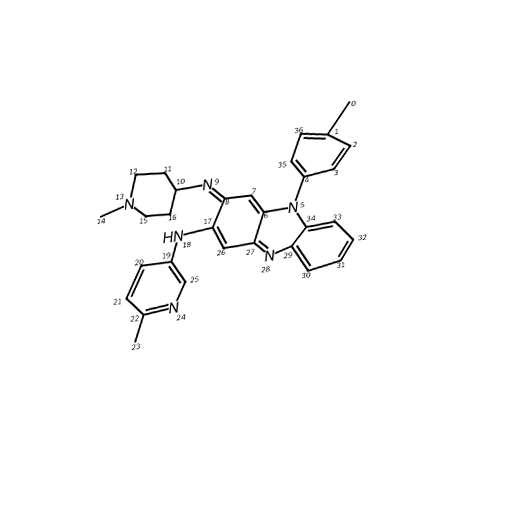 Cc1ccc(-n2c3c/c(=N/C4CCN(C)CC4)c(Nc4ccc(C)nc4)cc-3nc3ccccc32)cc1